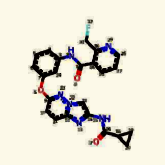 O=C(Nc1cccc(Oc2ccc3nc(NC(=O)C4CC4)cn3n2)c1)c1cccnc1CF